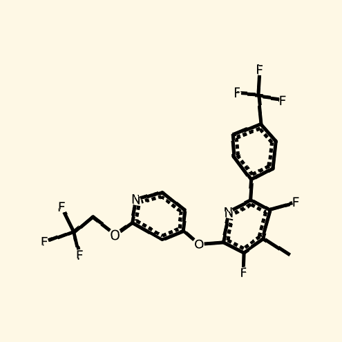 Cc1c(F)c(Oc2ccnc(OCC(F)(F)F)c2)nc(-c2ccc(C(F)(F)F)cc2)c1F